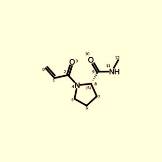 C=CC(=O)N1CCC[C@H]1C(=O)NC